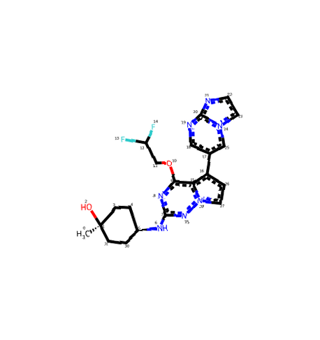 C[C@]1(O)CC[C@@H](Nc2nc(OCC(F)F)c3c(-c4cnc5nccn5c4)ccn3n2)CC1